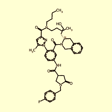 CCCCN(CCCC)C(=O)c1cc(C)n(-c2ccc(NC(=O)C3CC(=O)N(Cc4ccc(F)cc4)C3)cc2C(=O)N2Cc3ccccc3C[C@H]2CCO)n1